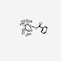 CCO[C@H]1[C@H](NS(=O)(=O)O)[C@H](O)[C@@H](COC(=O)c2ccccc2)O[C@@H]1O